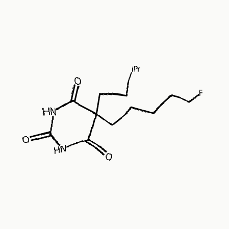 CC(C)CCC1(CCCCCF)C(=O)NC(=O)NC1=O